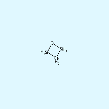 O1[SiH2][GeH2][SiH2]1